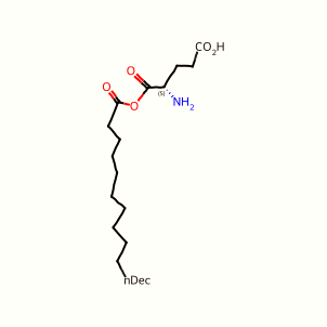 CCCCCCCCCCCCCCCCCCCC(=O)OC(=O)[C@@H](N)CCC(=O)O